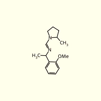 COc1ccccc1C(C)N=CN1CCCC1C